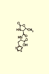 C[C@@H]1OC(=O)N[C@@H]1C(=O)N[C@H](Cc1cscn1)C(=O)O